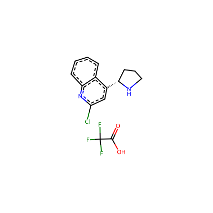 Clc1cc([C@@H]2CCCN2)c2ccccc2n1.O=C(O)C(F)(F)F